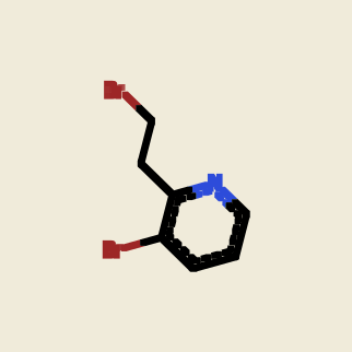 BrCCc1ncccc1Br